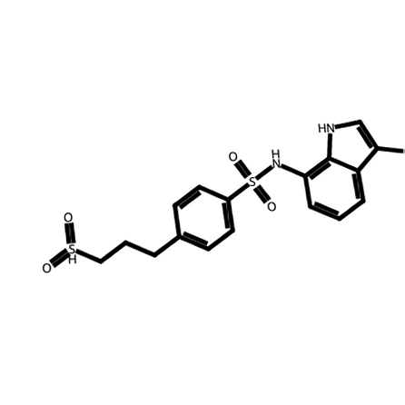 O=[SH](=O)CCCc1ccc(S(=O)(=O)Nc2cccc3c(Cl)c[nH]c23)cc1